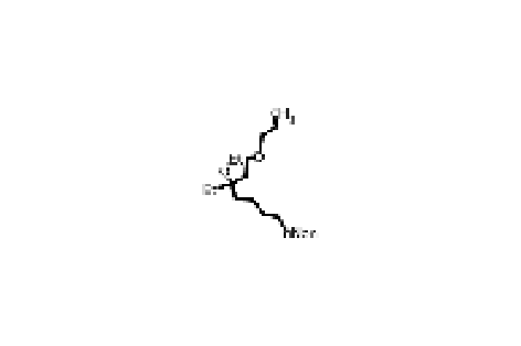 C=CCOCCC(CC)(CCCCCCCCCCCCC)OCC